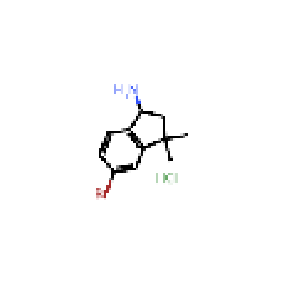 CC1(C)CC(N)c2ccc(Br)cc21.Cl